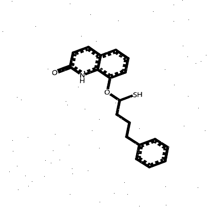 O=c1ccc2cccc(OC(S)CCCc3ccccc3)c2[nH]1